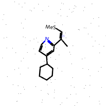 CS/C=C(/C)c1cc(C2CCCCC2)ccn1